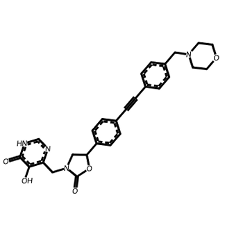 O=C1OC(c2ccc(C#Cc3ccc(CN4CCOCC4)cc3)cc2)CN1Cc1nc[nH]c(=O)c1O